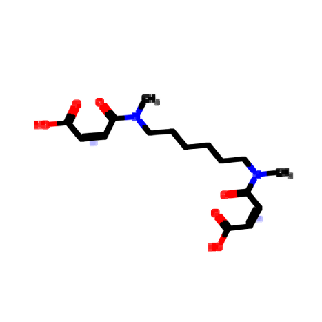 CN(CCCCCCN(C)C(=O)/C=C\C(=O)O)C(=O)/C=C\C(=O)O